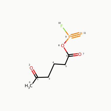 CC(=O)CCCC(=O)OP(F)#P